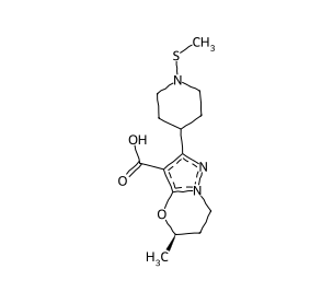 CSN1CCC(c2nn3c(c2C(=O)O)O[C@H](C)CC3)CC1